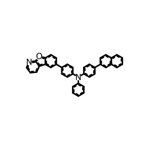 c1ccc(N(c2ccc(-c3ccc4ccccc4c3)cc2)c2ccc(-c3ccc4oc5ncccc5c4c3)cc2)cc1